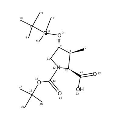 C[C@@H]1[C@@H](O[Si](C)(C)C(C)(C)C)CN(C(=O)OC(C)(C)C)[C@@H]1C(=O)O